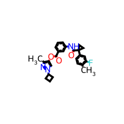 Cc1ccc(C2(C(=O)Nc3cccc(C(=O)Oc4cn(C5CCC5)nc4C)c3)CC2)cc1F